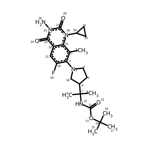 Cc1c(N2CCC(C(C)(C)NC(=O)OC(C)(C)C)C2)c(F)cc2c(=O)n(N)c(=O)n(C3CC3)c12